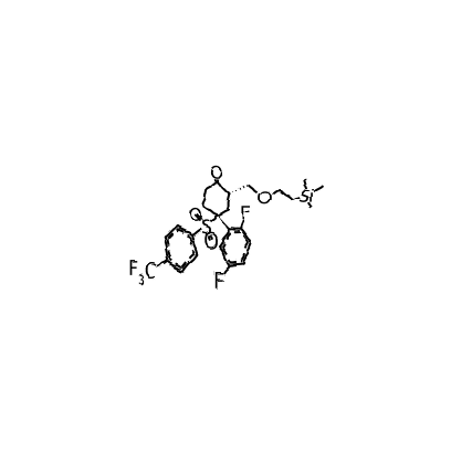 C[Si](C)(C)CCOC[C@@H]1C[C@](c2cc(F)ccc2F)(S(=O)(=O)c2ccc(C(F)(F)F)cc2)CCC1=O